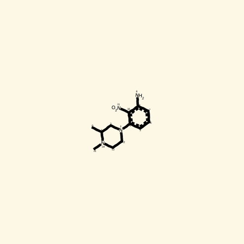 CC1CN(c2cccc(N)c2[N+](=O)[O-])CCN1C